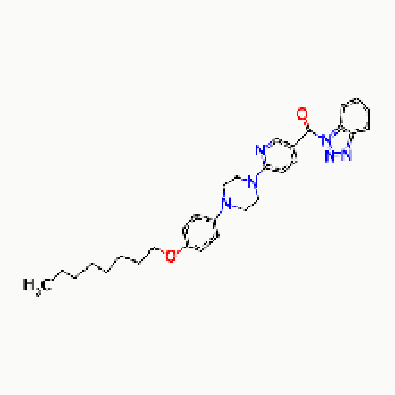 CCCCCCCCOc1ccc(N2CCN(c3ccc(C(=O)n4nnc5ccccc54)cn3)CC2)cc1